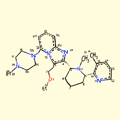 CCOCc1c([C@H]2CCC[C@@H](c3ncccc3C)N2C)nc2cccc(N3CCN(C(C)C)CC3)n12